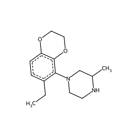 CCc1ccc2c(c1N1CCNC(C)C1)OCCO2